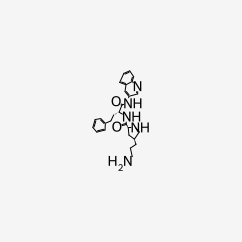 NCCC[C@@H]1CN[C@H](C(=O)N[C@H](CCc2ccccc2)C(=O)Nc2cnc3ccccc3c2)C1